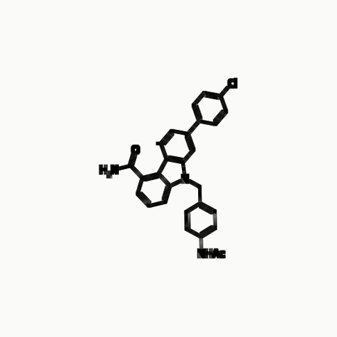 CC(=O)Nc1ccc(Cn2c3cc(-c4ccc(Cl)cc4)c[c]c3c3c(C(N)=O)cccc32)cc1